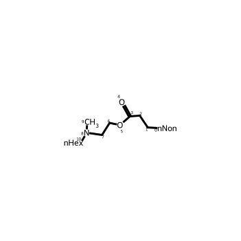 CCCCCCCCCCCC(=O)OCCN(C)CCCCCC